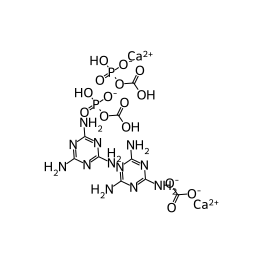 Nc1nc(N)nc(N)n1.Nc1nc(N)nc(N)n1.O=C(O)OP(=O)([O-])O.O=C(O)OP(=O)([O-])O.O=C([O-])[O-].[Ca+2].[Ca+2]